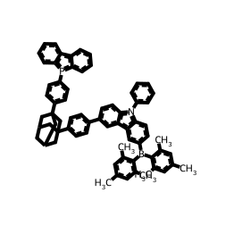 Cc1cc(C)c(B(c2ccc3c(c2)c2cc(-c4ccc(C56CC7CC(C5)CC(c5ccc(-p8c9ccccc9c9ccccc98)cc5)(C7)C6)cc4)ccc2n3-c2ccccc2)c2c(C)cc(C)cc2C)c(C)c1